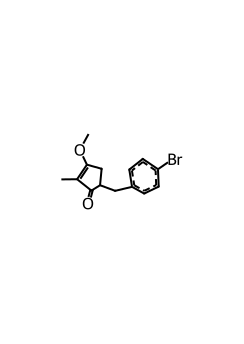 COC1=C(C)C(=O)C(Cc2ccc(Br)cc2)C1